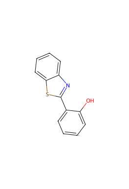 Oc1c[c]ccc1-c1nc2ccccc2s1